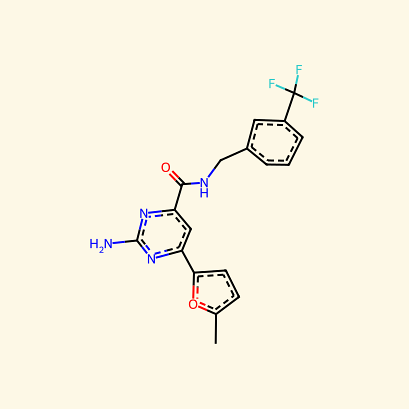 Cc1ccc(-c2cc(C(=O)NCc3cccc(C(F)(F)F)c3)nc(N)n2)o1